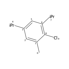 Cc1cc(C(C)C)cc(C(C)C)c1Cl